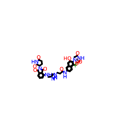 O=C1CCC(N2C(=O)c3cccc(NCc4cn(CCC(=O)Nc5ccc6c(F)c(N7CC(=O)NS7(=O)=O)c(O)cc6c5)nn4)c3C2=O)C(=O)N1